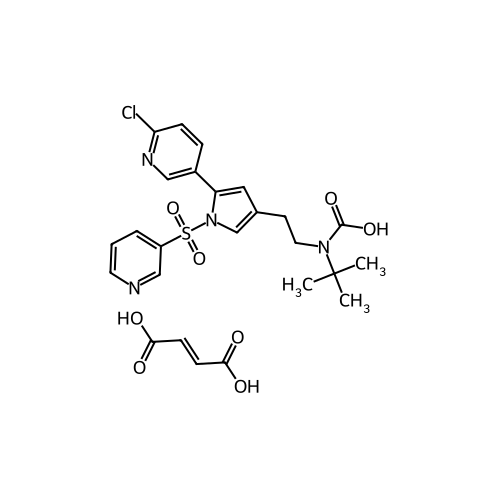 CC(C)(C)N(CCc1cc(-c2ccc(Cl)nc2)n(S(=O)(=O)c2cccnc2)c1)C(=O)O.O=C(O)/C=C/C(=O)O